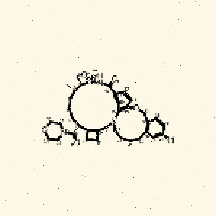 C[C@@H]1[C@@H](C)CCC[C@@H](C(=O)N2CCOCC2)C2CCC2CN2CCCCc3cc(Cl)ccc3COc3ccc(cc32)C(=O)NS1(=O)=O